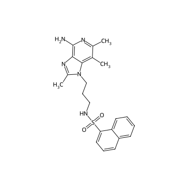 Cc1nc(N)c2nc(C)n(CCCNS(=O)(=O)c3cccc4ccccc34)c2c1C